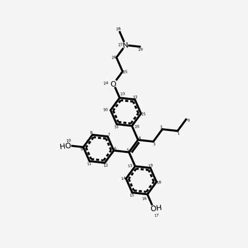 CCCCC(=C(c1ccc(O)cc1)c1ccc(O)cc1)c1ccc(OCCN(C)C)cc1